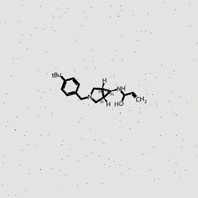 C=CC(O)N[C@H]1[C@@H]2CN(Cc3ccc(C(C)(C)C)cc3)C[C@@H]21